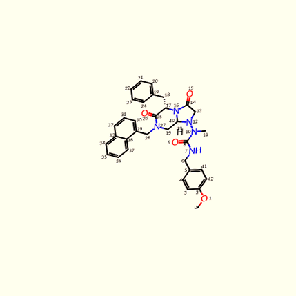 COc1ccc(CNC(=O)N(C)N2CC(=O)N3[C@@H](Cc4ccccc4)C(=O)N(Cc4cccc5ccccc45)C[C@@H]32)cc1